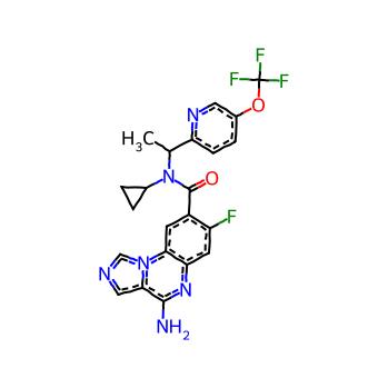 CC(c1ccc(OC(F)(F)F)cn1)N(C(=O)c1cc2c(cc1F)nc(N)c1cncn12)C1CC1